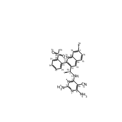 C[C@H](Nc1nc(N)nc(N)c1C#N)c1cc2ccc(F)cc2nc1-c1ccccc1S(C)(=O)=O